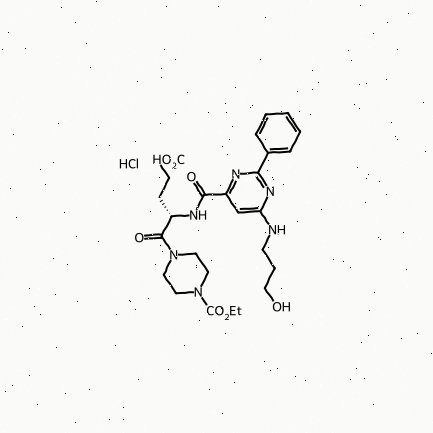 CCOC(=O)N1CCN(C(=O)[C@H](CCC(=O)O)NC(=O)c2cc(NCCCO)nc(-c3ccccc3)n2)CC1.Cl